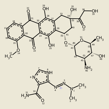 CN(C)/N=N/c1[nH]cnc1C(N)=O.COc1cccc2c1C(=O)c1c(O)c3c(c(O)c1C2=O)C[C@@](O)(C(=O)CO)C[C@@H]3O[C@H]1C[C@H](N)[C@@H](O)[C@H](C)O1